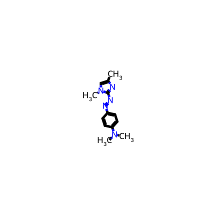 Cc1cn(C)c(N=Nc2ccc(N(C)C)cc2)n1